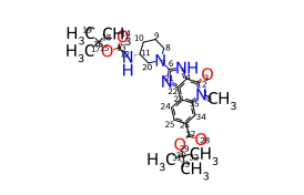 Cn1c(=O)c2[nH]c(N3CCC[C@@H](NC(=O)OC(C)(C)C)C3)nc2c2ccc(C(=O)OC(C)(C)C)cc21